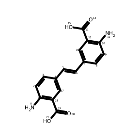 Nc1ccc(/C=C/c2ccc(N)c(C(=O)O)c2)cc1C(=O)O